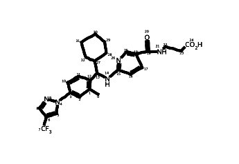 Cc1cc(-n2cc(C(F)(F)F)cn2)ccc1C(Nc1ccc(C(=O)NCCC(=O)O)cn1)C1CCCCC1